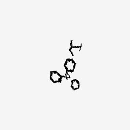 CCC(C)I.c1ccc(P(c2ccccc2)c2ccccc2)cc1